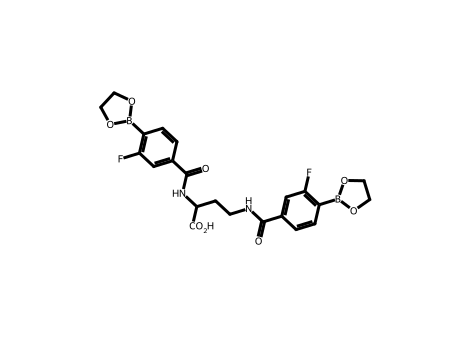 O=C(NCCC(NC(=O)c1ccc(B2OCCO2)c(F)c1)C(=O)O)c1ccc(B2OCCO2)c(F)c1